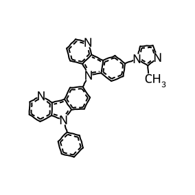 Cc1nccn1-c1ccc2c(c1)c1ncccc1n2-c1ccc2c(c1)c1ncccc1n2-c1ccccc1